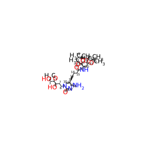 CO[C@H](CO)[C@H](O)CCn1cc(C#CCCC(=O)NC(CC(=O)OC(C)(C)C)C(=O)OC(C)(C)C)c(N)nc1=O